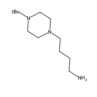 CC(C)(C)N1CCN(CCCCN)CC1